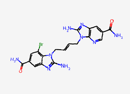 NC(=O)c1cnc2c(c1)nc(N)n2CC=CCn1c(N)nc2cc(C(N)=O)cc(Br)c21